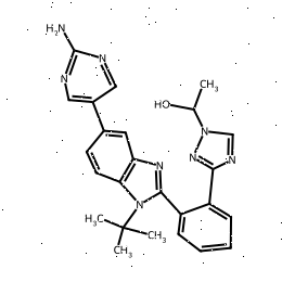 CC(O)n1cnc(-c2ccccc2-c2nc3cc(-c4cnc(N)nc4)ccc3n2C(C)(C)C)n1